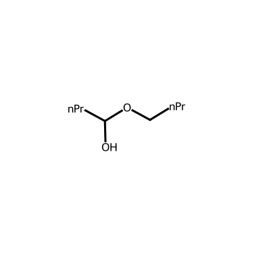 CCCCOC(O)CCC